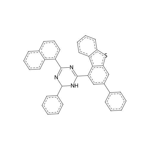 c1ccc(-c2cc(C3=NC(c4cccc5ccccc45)=NC(c4ccccc4)N3)c3c(c2)sc2ccccc23)cc1